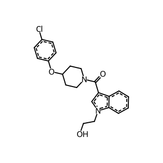 O=C(c1cn(CCO)c2ccccc12)N1CCC(Oc2ccc(Cl)cc2)CC1